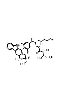 CC1Cc2c([nH]c3ccccc23)[C@@H](c2c(F)cc(N[C@H](CNCCCF)COC(=O)[C@H](O)[C@@H](O)C(=O)O)cc2F)N1CC(F)(F)CO